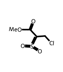 COC(=O)C(CCl)=S(=O)=O